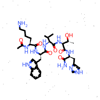 CC(=O)N[C@@H](CCCCN)C(=O)N[C@@H](Cc1c[nH]c2ccccc12)C(=O)N[C@H](C(=O)N[C@H](C(=O)N[C@@H](Cc1c[nH]cn1)C(N)=O)[C@@H](C)O)C(C)C